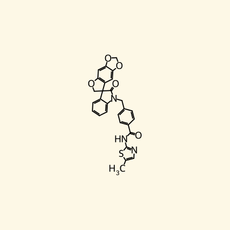 Cc1cnc(NC(=O)c2ccc(CN3C(=O)C4(COc5cc6c(cc54)OCO6)c4ccccc43)cc2)s1